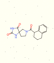 O=C1NC(=O)C2(CCN(C(=O)C3CCCc4ccccc43)C2)N1